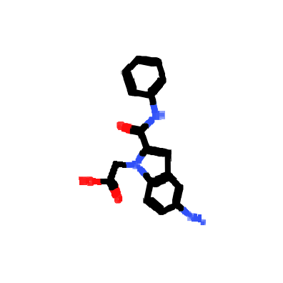 Nc1ccc2c(c1)cc(C(=O)Nc1ccccc1)n2CC(=O)O